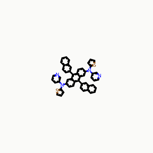 c1cncc(N(c2ccc3c(-c4ccc5ccccc5c4)c4cc(N(c5cccnc5)c5cccs5)ccc4c(-c4ccc5ccccc5c4)c3c2)c2cccs2)c1